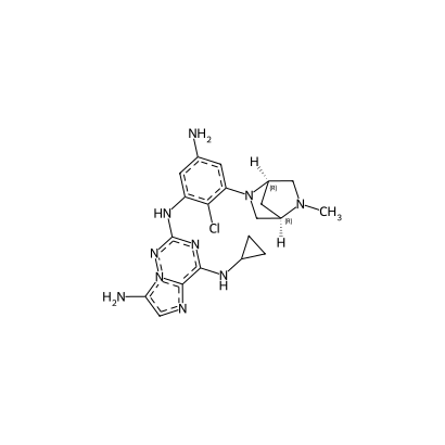 CN1C[C@H]2C[C@@H]1CN2c1cc(N)cc(Nc2nc(NC3CC3)c3ncc(N)n3n2)c1Cl